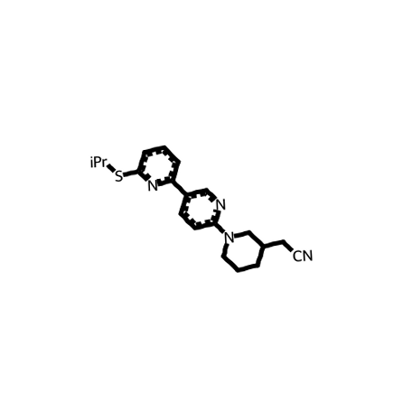 CC(C)Sc1cccc(-c2ccc(N3CCCC(CC#N)C3)nc2)n1